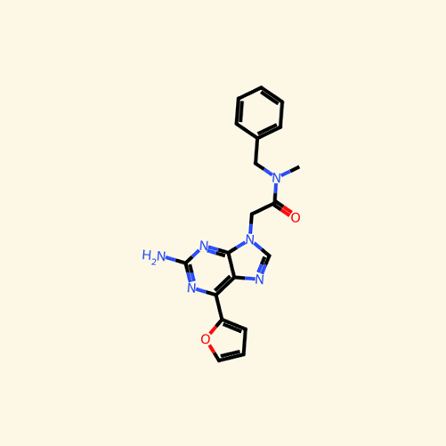 CN(Cc1ccccc1)C(=O)Cn1cnc2c(-c3ccco3)nc(N)nc21